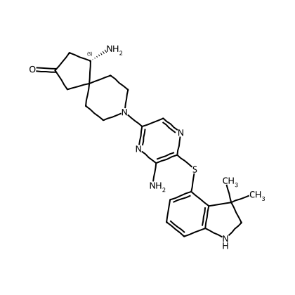 CC1(C)CNc2cccc(Sc3ncc(N4CCC5(CC4)CC(=O)C[C@@H]5N)nc3N)c21